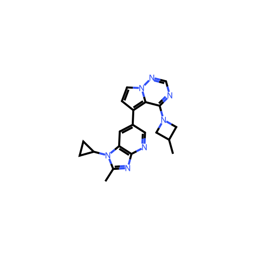 Cc1nc2ncc(-c3ccn4ncnc(N5CC(C)C5)c34)cc2n1C1CC1